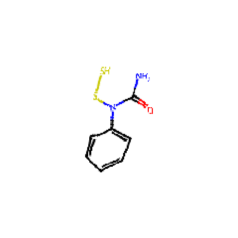 NC(=O)N(SS)c1ccccc1